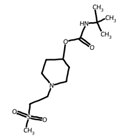 CC(C)(C)NC(=O)OC1CCN(CCS(C)(=O)=O)CC1